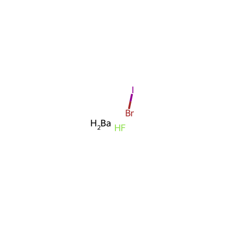 BrI.F.[BaH2]